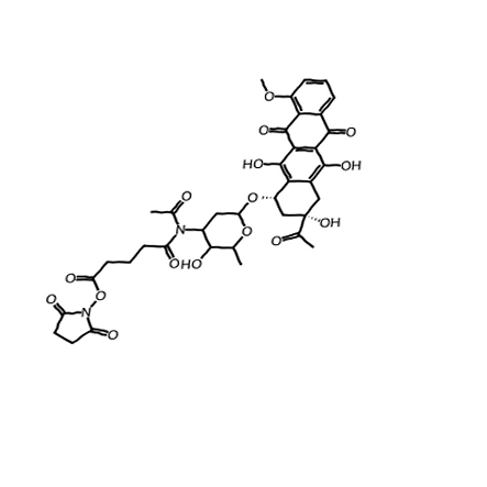 COc1cccc2c1C(=O)c1c(O)c3c(c(O)c1C2=O)C[C@@](O)(C(C)=O)C[C@@H]3OC1CC(N(C(C)=O)C(=O)CCCC(=O)ON2C(=O)CCC2=O)C(O)C(C)O1